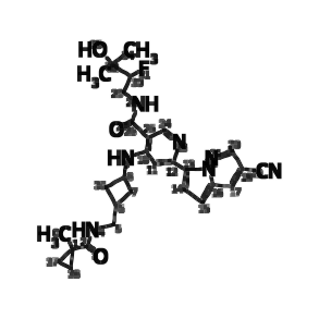 CC1(C(=O)NCC2CC(Nc3cc(-c4ccc5cc(C#N)cnn45)ncc3C(=O)NCC(F)C(C)(C)O)C2)CC1